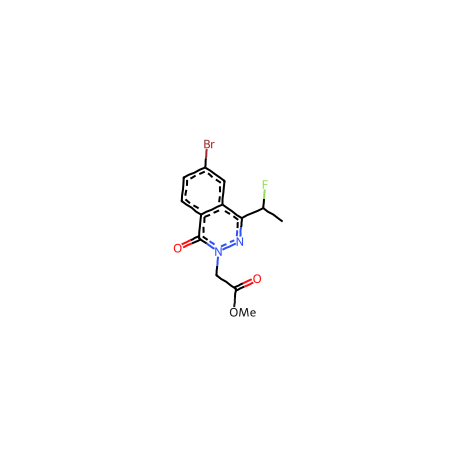 COC(=O)Cn1nc(C(C)F)c2cc(Br)ccc2c1=O